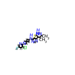 CC(=N)/C(C)=C1\C(=N)Sc2c(NC3CC4(C3)CN(c3ncc(F)cc3Cl)C4)ncnc21